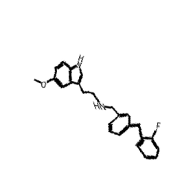 COc1ccc2[nH]cc(CCNCc3cccc(Cc4ccccc4F)c3)c2c1